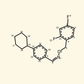 Fc1ccc(CO/N=[C]\c2ccc(C3CCCCC3)cc2)c(F)c1